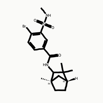 CNS(=O)(=O)c1cc(C(=O)NC2C(C)(C)[C@@H]3CC[C@]2(C)C3)ccc1Br